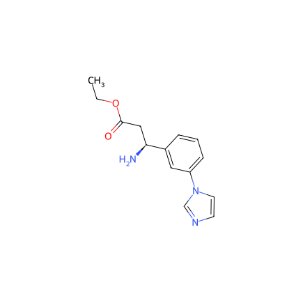 CCOC(=O)C[C@H](N)c1cccc(-n2ccnc2)c1